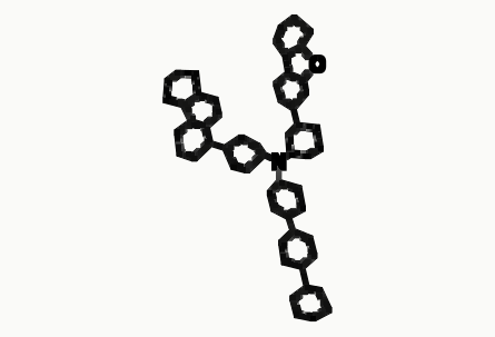 c1ccc(-c2ccc(-c3ccc(N(c4ccc(-c5cccc6c5ccc5ccccc56)cc4)c4cccc(-c5ccc6c(c5)oc5ccccc56)c4)cc3)cc2)cc1